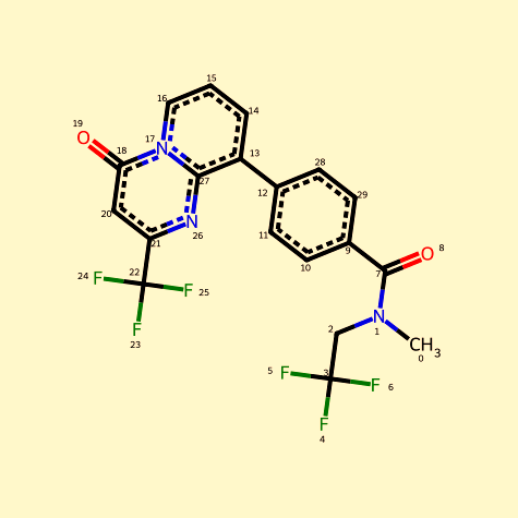 CN(CC(F)(F)F)C(=O)c1ccc(-c2cccn3c(=O)cc(C(F)(F)F)nc23)cc1